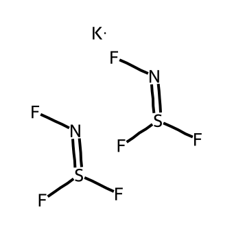 FN=S(F)F.FN=S(F)F.[K]